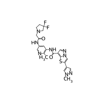 Cc1ncc(NC(=O)CN2CCC(F)(F)C2)cc1NC(=O)c1cnn2cc(-c3cnn(C)c3)sc12